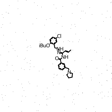 C/C=C/C(=N\NCc1cc(Cl)ccc1OCC(C)C)NC(=O)c1cccc(CN2CCCC2)c1